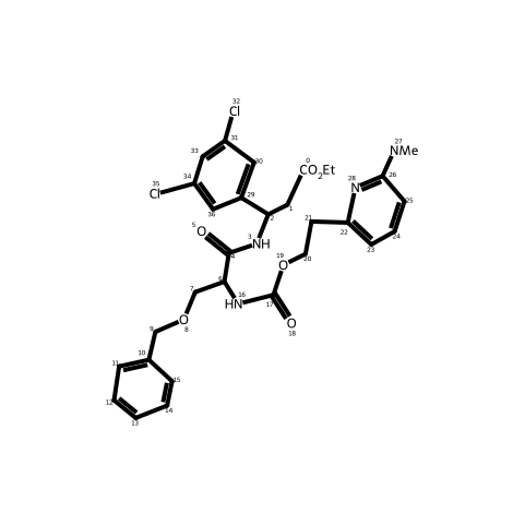 CCOC(=O)CC(NC(=O)C(COCc1ccccc1)NC(=O)OCCc1cccc(NC)n1)c1cc(Cl)cc(Cl)c1